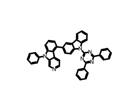 c1ccc(-c2nc(-c3ccccc3)nc(-n3c4ccccc4c4cc(-c5cccc6c5c5ccncc5n6-c5ccccc5)ccc43)n2)cc1